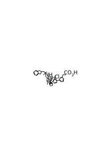 CN(CC(O)CNC(C)(C)CC1Cc2ccccc2C1)S(=O)(=O)c1ccc(-c2cccc(CCC(=O)O)c2)c(Cl)c1